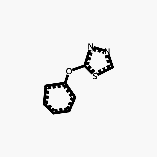 c1ccc(Oc2nncs2)cc1